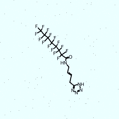 O=C(NC/C=C/Cc1nnn[nH]1)C(F)(F)C(F)(F)C(F)(F)C(F)(F)C(F)(F)C(F)(F)C(F)(F)F